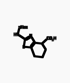 CCCCCCNc1nc2c(s1)CCCC2C(=O)O